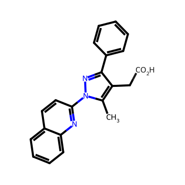 Cc1c(CC(=O)O)c(-c2ccccc2)nn1-c1ccc2ccccc2n1